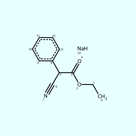 CCOC(=O)C(C#N)c1ccccc1.[NaH]